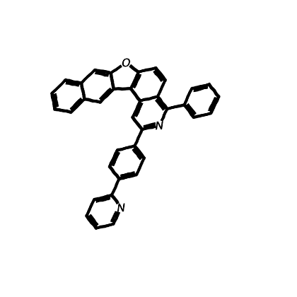 c1ccc(-c2nc(-c3ccc(-c4ccccn4)cc3)cc3c2ccc2oc4cc5ccccc5cc4c23)cc1